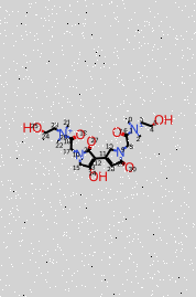 C[N+](C)(CCO)C(=O)CN1CC(C2=C(O)CN(CC(=O)[N+](C)(C)CCO)C2=O)=CC1=O